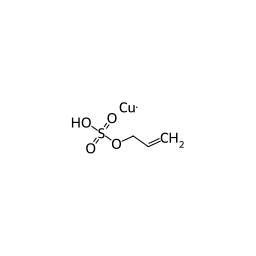 C=CCOS(=O)(=O)O.[Cu]